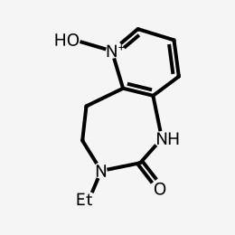 CCN1CCc2c(ccc[n+]2O)NC1=O